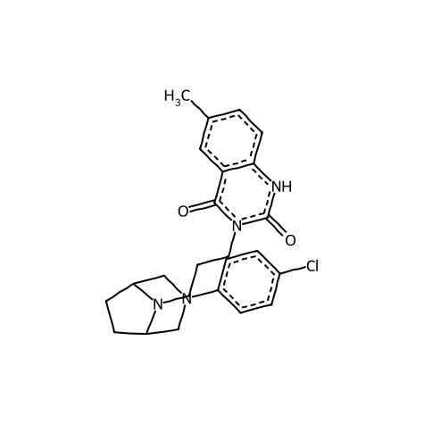 Cc1ccc2[nH]c(=O)n(CCCN3C4CCC3CN(c3ccc(Cl)cc3)C4)c(=O)c2c1